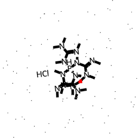 C/N=C(\N(C)C)N(C)[PH](N(C)/C(=N/C)N(C)C)(N(C)/C(=N/C)N(C)C)N(C)/C(=N/C)N(C)C.Cl